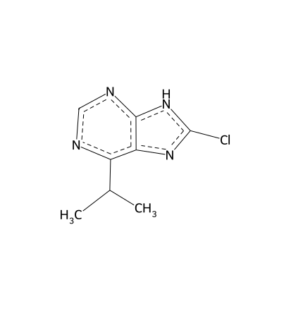 CC(C)c1ncnc2[nH]c(Cl)nc12